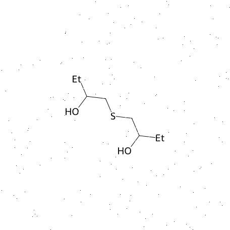 CCC(O)CSCC(O)CC